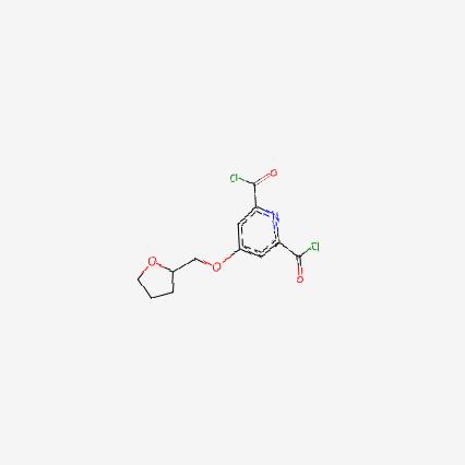 O=C(Cl)c1cc(OCC2CCCO2)cc(C(=O)Cl)n1